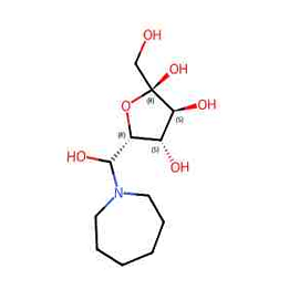 OC[C@@]1(O)O[C@@H](C(O)N2CCCCCC2)[C@@H](O)[C@@H]1O